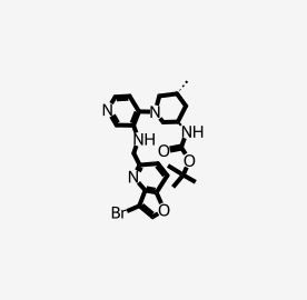 C[C@@H]1C[C@H](NC(=O)OC(C)(C)C)CN(c2ccncc2NCc2ccc3occ(Br)c3n2)C1